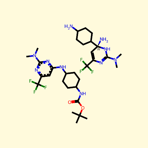 CN(C)C1=NC(C(F)(F)F)=C[C@](N)(C2CCC(N)CC2)N1.CN(C)c1nc(NC2CCC(NC(=O)OC(C)(C)C)CC2)cc(C(F)(F)F)n1